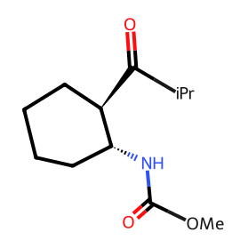 COC(=O)N[C@@H]1CCCC[C@H]1C(=O)C(C)C